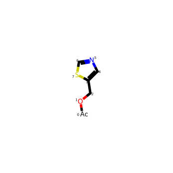 CC(=O)OCc1cncs1